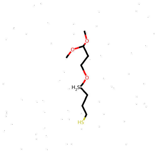 COC(CCO[SiH2]CCCS)OC